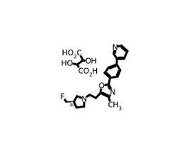 Cc1nc(-c2ccc(-c3cccnc3)cc2)oc1CCN1CC[C@@H](CF)C1.O=C(O)C(O)C(O)C(=O)O